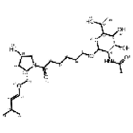 CC(=O)N[C@@H](CO)C(OCCCCCC(=O)N1C[C@H](O)C[C@H]1CO/C=C/C(C)C)OC(CO)[C@@H](C)O